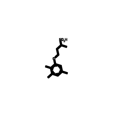 Cc1cc(C)c(C)c(OCCC(C)S(=O)(=O)O)c1